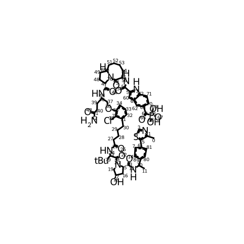 Cc1ncsc1-c1ccc(C(C)NC(=O)[C@@H]2C[C@@H](O)CN2C(=O)C(NC(=O)CCCCc2cccc(OCC(CCC(N)=O)NC(=O)[C@@H]3CC[C@@H]4CCCC[C@H](NC(=O)c5cc6cc(C(=O)P(=O)(O)O)ccc6[nH]5)C(=O)N43)c2Cl)C(C)(C)C)cc1